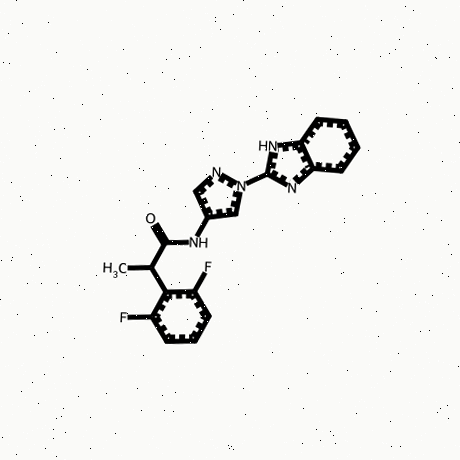 CC(C(=O)Nc1cnn(-c2nc3ccccc3[nH]2)c1)c1c(F)cccc1F